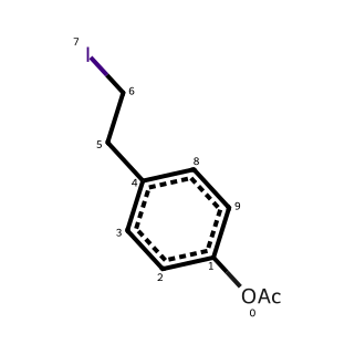 CC(=O)Oc1ccc(CCI)cc1